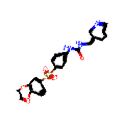 O=C(NCc1cccnc1)Nc1ccc(S(=O)(=O)c2ccc3c(c2)OCCO3)cc1